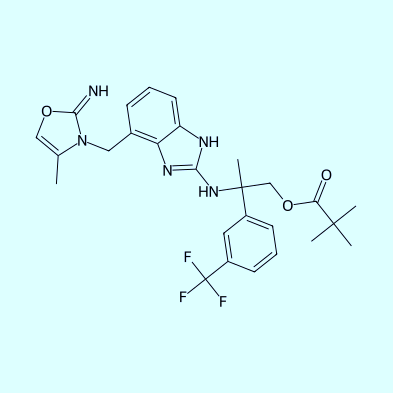 Cc1coc(=N)n1Cc1cccc2[nH]c(NC(C)(COC(=O)C(C)(C)C)c3cccc(C(F)(F)F)c3)nc12